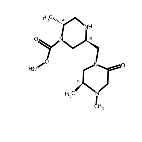 C[C@@H]1CN[C@@H](CN2C[C@H](C)N(C)CC2=O)CN1C(=O)OC(C)(C)C